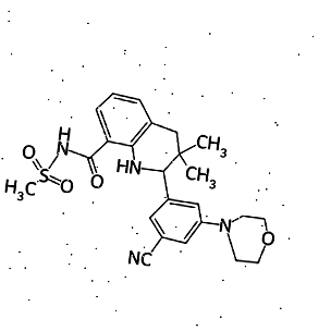 CC1(C)Cc2cccc(C(=O)NS(C)(=O)=O)c2NC1c1cc(C#N)cc(N2CCOCC2)c1